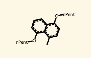 [CH2]c1ccc(OCCCCC)c2cccc(OCCCCC)c12